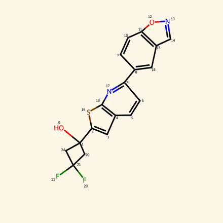 OC1(c2cc3ccc(-c4ccc5oncc5c4)nc3s2)CC(F)(F)C1